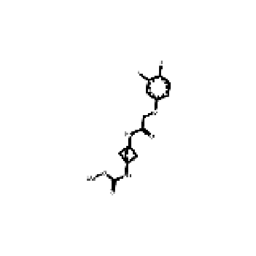 CC(C)(C)OC(=O)NC12CC(NC(=O)COc3ccc(F)c(F)c3)(C1)C2